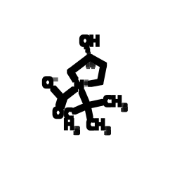 CC(C)(C)[N+]1(C(=O)[O-])CC[C@@H](O)C1